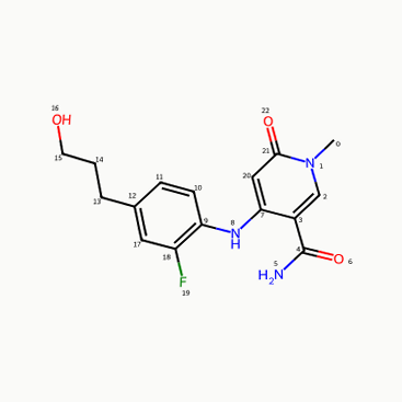 Cn1cc(C(N)=O)c(Nc2ccc(CCCO)cc2F)cc1=O